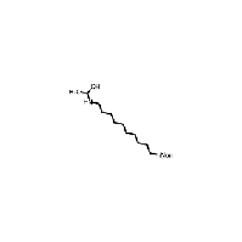 CCCCCCCCCCCCCCCCCCCNC(C)O